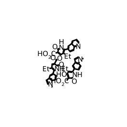 CCc1c(-c2ccc3c(ccn3C)c2)[nH]c(=O)c(C(=O)O)c1O.CCc1cc(C(=O)Oc2c(CC)c(-c3ccc4ncccc4c3)[nH]c(=O)c2C(=O)O)c(=O)[nH]c1-c1ccc2c(ccn2C)c1